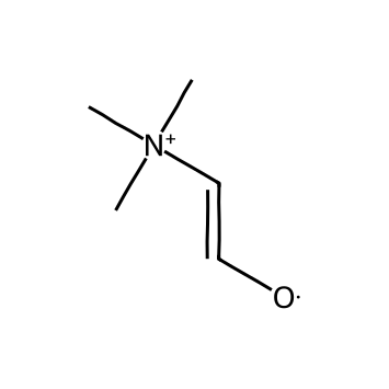 C[N+](C)(C)C=C[O]